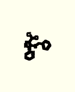 O=C(Cl)c1cnn(-c2ccccn2)c1SCc1ccccc1